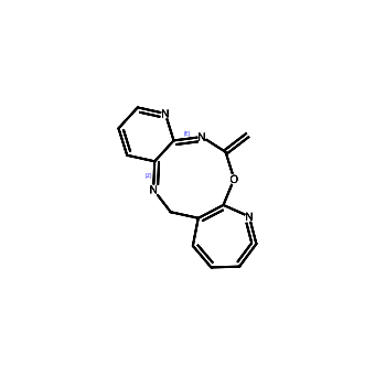 C=C1/N=c2/nccc/c2=N/CC2=C(N=C=CC=C2)O1